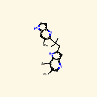 CC(C)(C)c1cc2[nH]ccc2nc1C(C)(C)Cc1cc2ncc(C(C)(C)C)c(C(C)(C)C)c2[nH]1